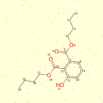 CCCCOC(=O)c1cccc(O)c1C(=O)OCCCC